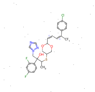 CC(SC1COC(/C=C\C=C(/c2ccc(Cl)cc2)C(F)(F)F)OC1)C(O)(Cn1cncn1)c1ccc(F)cc1F